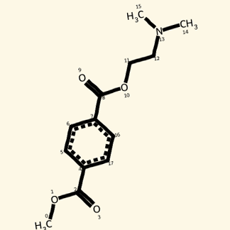 COC(=O)c1ccc(C(=O)OCCN(C)C)cc1